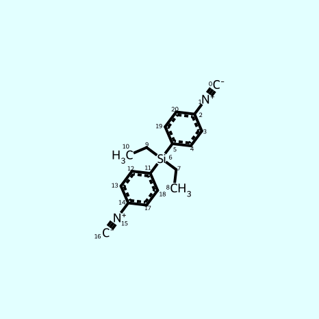 [C-]#[N+]c1ccc([Si](CC)(CC)c2ccc([N+]#[C-])cc2)cc1